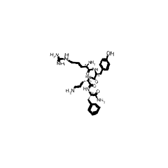 N=C(N)NCCC[C@@H](N)C(=O)N[C@@H](Cc1ccc(O)cc1)C(=O)N[C@@H](CCCN)C(=O)N[C@@H](Cc1ccccc1)C(N)=O